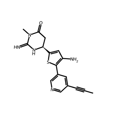 CC#Cc1cncc(-c2sc([C@@H]3CC(=O)N(C)C(=N)N3)cc2N)c1